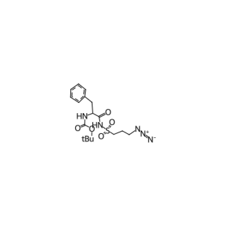 CC(C)(C)OC(=O)NC(Cc1ccccc1)C(=O)NS(=O)(=O)CCCN=[N+]=[N-]